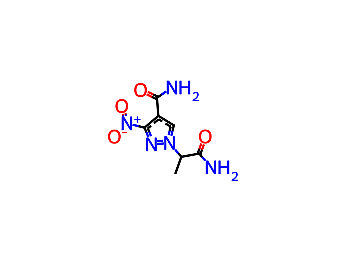 CC(C(N)=O)n1cc(C(N)=O)c([N+](=O)[O-])n1